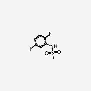 CS(=O)(=O)Nc1cc(I)ccc1F